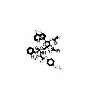 CC(C)C(=O)O[C@H]1[C@H](c2ccc3c(N)ccnn23)O[C@](C#N)(COP(=O)(N[C@@H](C)C(=O)O[C@H]2CC[C@H](N)CC2)Oc2ccccc2)[C@H]1OC(=O)C(C)C